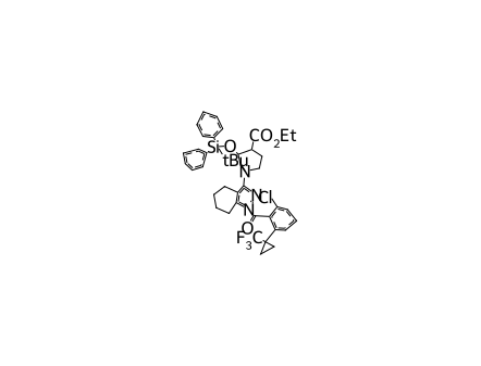 CCOC(=O)C1CCN(c2nn(C(=O)c3c(Cl)cccc3C3(C(F)(F)F)CC3)c3c2CCCC3)CC1O[Si](c1ccccc1)(c1ccccc1)C(C)(C)C